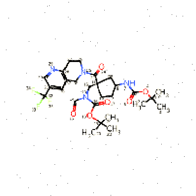 CC(C)(C)OC(=O)NC1CC[C@](CN(C=O)C(=O)OC(C)(C)C)(C(=O)N2CCc3ncc(C(F)(F)F)cc3C2)C1